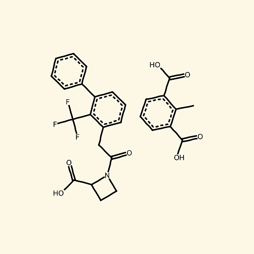 Cc1c(C(=O)O)cccc1C(=O)O.O=C(O)C1CCN1C(=O)Cc1cccc(-c2ccccc2)c1C(F)(F)F